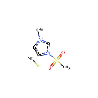 CCCC[n+]1ccn(S(C)(=O)=O)c1.N#C[S-]